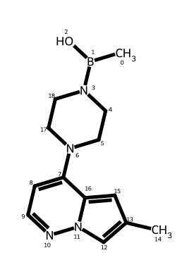 CB(O)N1CCN(c2ccnn3cc(C)cc23)CC1